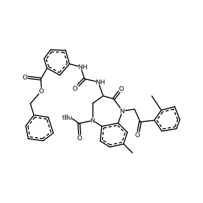 Cc1ccc2c(c1)N(CC(=O)c1ccccc1C)C(=O)C(NC(=O)Nc1cccc(C(=O)OCc3ccccc3)c1)CN2C(=O)C(C)(C)C